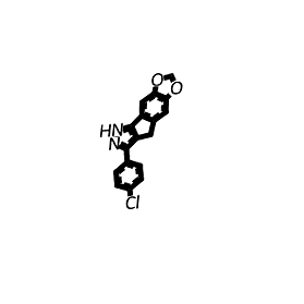 Clc1ccc(-c2n[nH]c3c2Cc2cc4c(cc2-3)OCO4)cc1